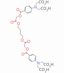 O=C(O)CN(CC(=O)O)c1ccc(C(=O)OCC(=O)OCCCCOC(=O)COC(=O)c2ccc(N(CC(=O)O)CC(=O)O)cc2)cc1